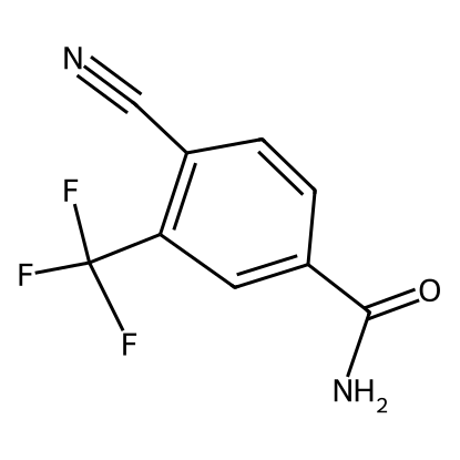 N#Cc1ccc(C(N)=O)cc1C(F)(F)F